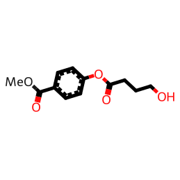 COC(=O)c1ccc(OC(=O)CCCO)cc1